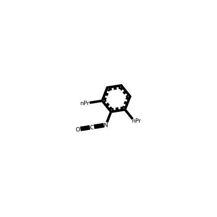 CCCc1cccc(CCC)c1N=C=O